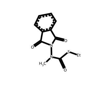 CCSC(=O)N(C)N1C(=O)c2ccccc2C1=O